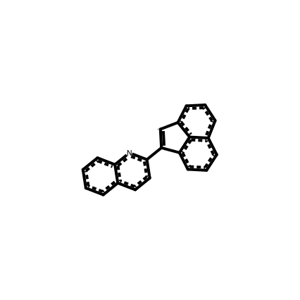 [C]1=C(c2ccc3ccccc3n2)c2cccc3cccc1c23